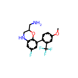 COc1ccc(-c2cc(F)cc3c2OC(CN)CN3)c(C(F)(F)F)c1